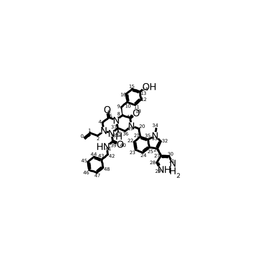 C=CCN1CC(=O)N2[C@@H](Cc3ccc(O)cc3)C(=O)N(Cc3cccc4c(/C(C=N)=C/N)cn(C)c34)C[C@@H]2N1C(=O)NCc1ccccc1